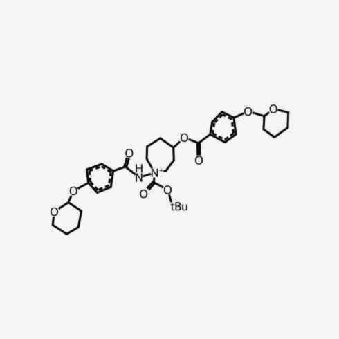 CC(C)(C)OC(=O)[N+]1(NC(=O)c2ccc(OC3CCCCO3)cc2)CCCC(OC(=O)c2ccc(OC3CCCCO3)cc2)CC1